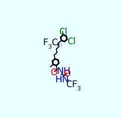 Cc1cc(CCC/C=C(/c2cc(Cl)cc(Cl)c2)C(F)(F)F)ccc1C(=O)NCC(=O)NCC(F)(F)F